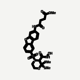 COC(=O)CCC(=O)Nc1ccc2c(c1)oc1ccc(S(=O)(=O)N3CCOC(SC)(SC)C3C(=O)NO)cc12